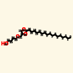 CCCCCCCCCCCCCCCCCC1OCC(COCCCCO)O1